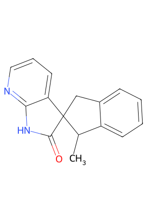 CC1c2ccccc2CC12C(=O)Nc1ncccc12